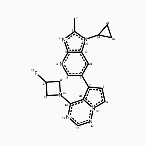 Cc1nc2ncc(-c3ccn4ncnc(N5CC(F)C5)c34)cc2n1C1CC1